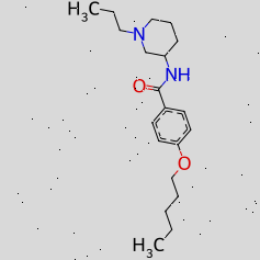 CCCCCOc1ccc(C(=O)NC2CCCN(CCC)C2)cc1